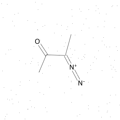 CC(=O)C(C)=[N+]=[N-]